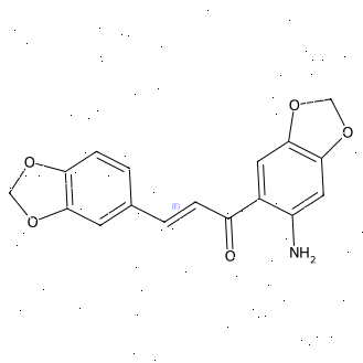 Nc1cc2c(cc1C(=O)/C=C/c1ccc3c(c1)OCO3)OCO2